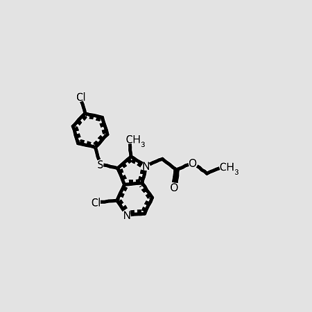 CCOC(=O)Cn1c(C)c(Sc2ccc(Cl)cc2)c2c(Cl)nccc21